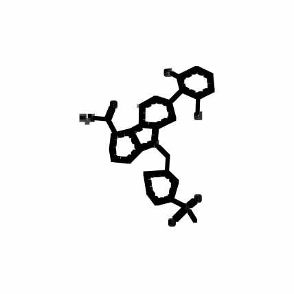 CS(=O)(=O)c1cccc(Cn2c3cc(-c4c(Cl)cccc4Cl)c[c]c3c3c(C(N)=O)cccc32)c1